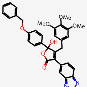 COc1cc(CC2=C(c3ccc4nsnc4c3)C(=O)OC2(O)c2ccc(OCc3ccccc3)cc2)cc(OC)c1OC